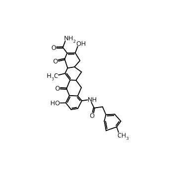 CC1=C2C(=O)c3c(O)ccc(NC(=O)Cc4ccc(C)cc4)c3CC2CC2CC(O)=C(C(N)=O)C(=O)C12